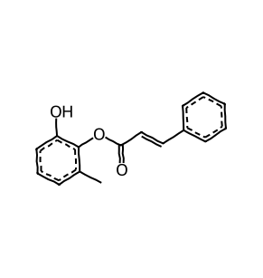 Cc1cccc(O)c1OC(=O)/C=C/c1ccccc1